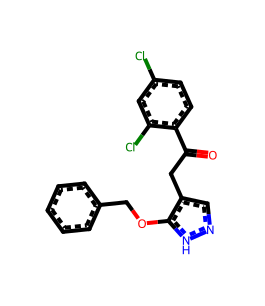 O=C(Cc1cn[nH]c1OCc1ccccc1)c1ccc(Cl)cc1Cl